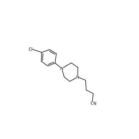 N#CCCCN1CCN(c2ccc(Cl)cc2)CC1